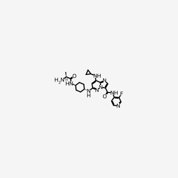 C[C@H](N)C(=O)N[C@H]1CC[C@H](Nc2cc(NC3CC3)c3ncc(C(=O)Nc4ccncc4F)n3n2)CC1